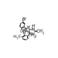 C=CNc1nc(-c2cc(Br)ccc2O)c(Nc2c(C)cccc2C)n1N